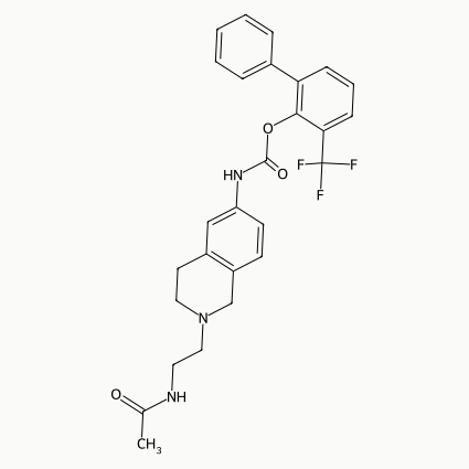 CC(=O)NCCN1CCc2cc(NC(=O)Oc3c(-c4ccccc4)cccc3C(F)(F)F)ccc2C1